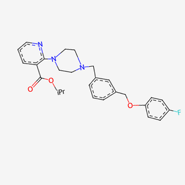 CC(C)OC(=O)c1cccnc1N1CCN(Cc2cccc(COc3ccc(F)cc3)c2)CC1